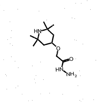 CC1(C)CC(OCC(=O)NN)CC(C)(C)N1